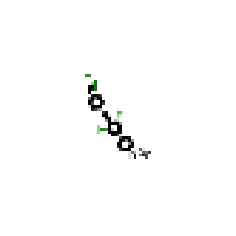 CCC[C@H]1CC[C@H](c2cc(F)c(C#C[C@H]3CC[C@H](C=C(F)F)CC3)c(F)c2)CC1